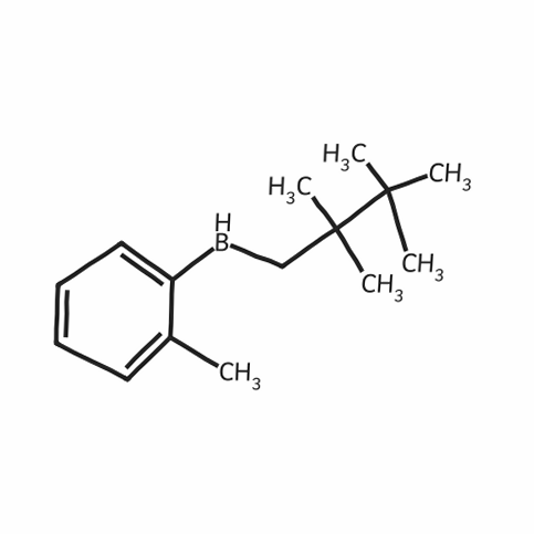 Cc1ccccc1BCC(C)(C)C(C)(C)C